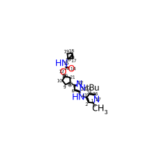 Cc1cc(Nc2cc([C@H]3CC[C@@H](OC(=O)NC45CC(C4)C5)C3)nn2C(C)(C)C)ccn1